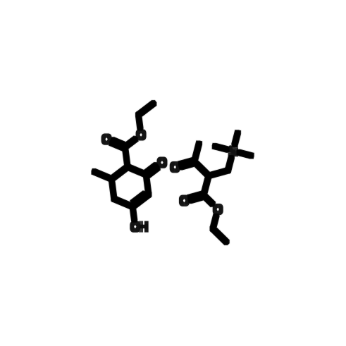 CCOC(=O)C(C[Si](C)(C)C)C(C)=O.CCOC(=O)C1C(=O)C=C(O)CC1C